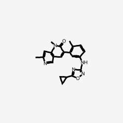 Cc1cc2c(cn1)cc(-c1cc(Nc3noc(C4CC4)n3)ccc1C)c(=O)n2C